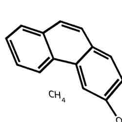 C.Oc1ccc2ccc3ccccc3c2c1